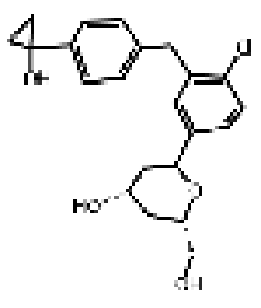 OC[C@@H]1C[C@H](O)CC(c2ccc(Cl)c(Cc3ccc(C4(O)CC4)cc3)c2)O1